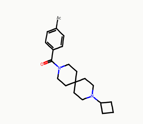 CC(=O)c1ccc(C(=O)N2CCC3(CC2)CCN(C2CCC2)CC3)cc1